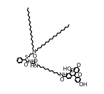 CCCCCCCCCCCCCCCCCCN(CCCCCCCCCCCCCCCCCC)C(=O)CCSC(C(=O)NCC(=O)NCCCCCCCCCCNC(=O)c1ccc(-c2c3ccc(=O)cc-3oc3cc(O)ccc23)c(C(=O)O)c1)c1ccccc1